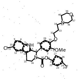 COc1cc(C2c3[nH]c4ccc(Cl)cc4c3CCN2C(=O)Oc2ccc(F)cc2)ccc1OCCCN1CCOCC1